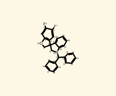 Fc1cc2c(cc1F)C1(CO2)CN(C(c2ccccc2)c2ccccc2)c2ccccc21